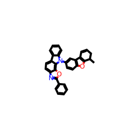 CC1CC=Cc2c1oc1ccc(-n3c4ccccc4c4ccc5nc(-c6ccccc6)oc5c43)cc21